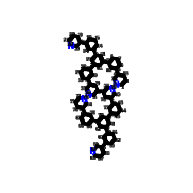 c1cncc(-c2cccc(-c3cc(-c4cccc(-c5cccnc5)c4)cc(-c4cccc(-c5cncc(-c6cncc(-c7cccc(-c8cc(-c9cccc(-c%10cccnc%10)c9)cc(-c9cccc(-c%10cccnc%10)c9)c8)c7)c6)c5)c4)c3)c2)c1